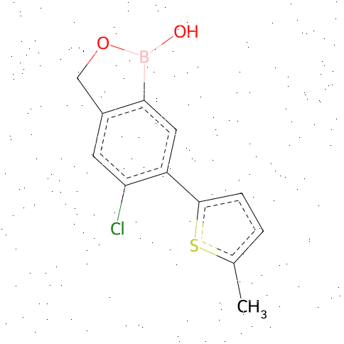 Cc1ccc(-c2cc3c(cc2Cl)COB3O)s1